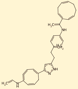 C=CNC1=C=C/C=C(/c2cc(CCC(=C)/C=C\C(=C/C)NC(=C)C3=CC/C=C\CC/C=C\3)[nH]n2)C/C=C\1